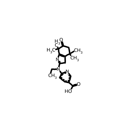 CCN(C1=NC2=C(C1)C(C)(C)CC(=O)C2(C)C)c1ccc(C(=O)O)cn1